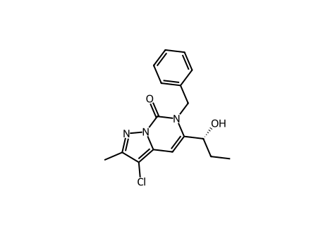 CC[C@@H](O)c1cc2c(Cl)c(C)nn2c(=O)n1Cc1ccccc1